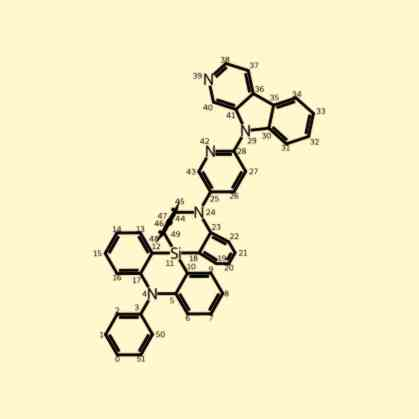 c1ccc(N2c3ccccc3[Si]3(c4ccccc42)c2ccccc2N(c2ccc(-n4c5ccccc5c5ccncc54)nc2)c2ccccc23)cc1